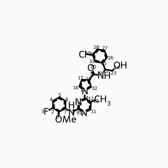 COc1c(F)cccc1Nc1ncc(C)c(-n2ccc(C(=O)NC(CO)c3cccc(Cl)c3)c2)n1